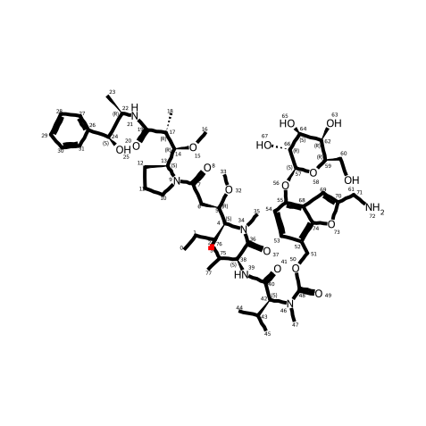 CCC(C)[C@@H]([C@@H](CC(=O)N1CCC[C@H]1[C@H](OC)[C@@H](C)C(=O)N[C@H](C)[C@@H](O)c1ccccc1)OC)N(C)C(=O)[C@@H](NC(=O)[C@H](C(C)C)N(C)C(=O)OCc1ccc(O[C@@H]2O[C@H](CO)[C@H](O)[C@H](O)[C@H]2O)c2cc(CN)oc12)C(C)C